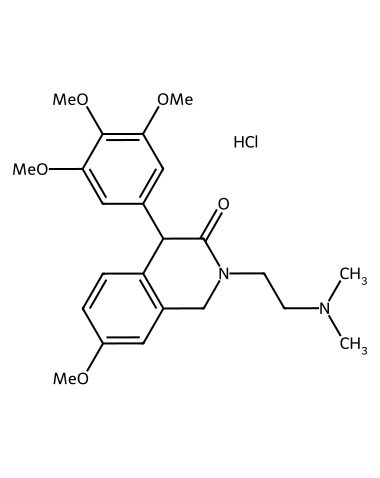 COc1ccc2c(c1)CN(CCN(C)C)C(=O)C2c1cc(OC)c(OC)c(OC)c1.Cl